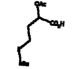 CCCCSCCC(OC(C)=O)C(=O)O